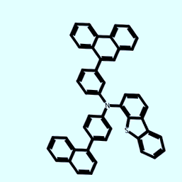 c1cc(-c2cc3ccccc3c3ccccc23)cc(N(c2ccc(-c3cccc4ccccc34)cc2)c2cccc3c2sc2ccccc23)c1